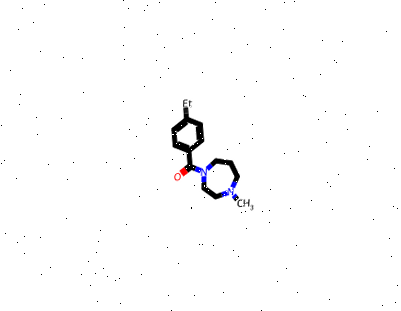 CCc1ccc(C(=O)N2CCCN(C)CC2)cc1